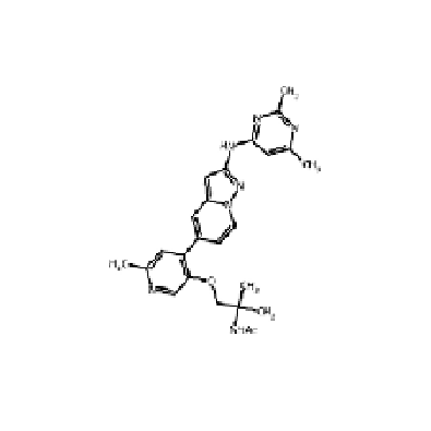 CC(=O)NC(C)(C)COc1cnc(C)cc1-c1ccn2nc(Nc3cc(C)nc(C)n3)cc2c1